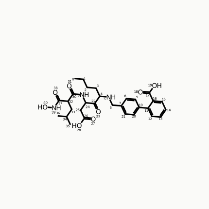 CCCCC(NCc1ccc(-c2ccccc2C(=O)O)cc1)C(=O)C(CC(=O)O)NC(=O)C(CC(C)C)C(=O)NO